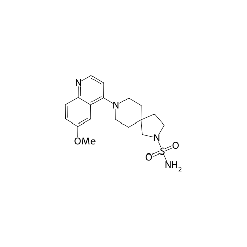 COc1ccc2nccc(N3CCC4(CC3)CCN(S(N)(=O)=O)C4)c2c1